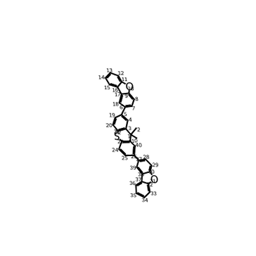 CC1(C)c2cc(-c3ccc4oc5ccccc5c4c3)ccc2Sc2ccc(-c3ccc4oc5ccccc5c4c3)cc21